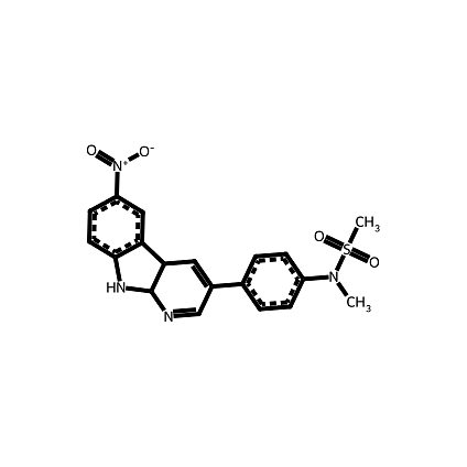 CN(c1ccc(C2=CC3c4cc([N+](=O)[O-])ccc4NC3N=C2)cc1)S(C)(=O)=O